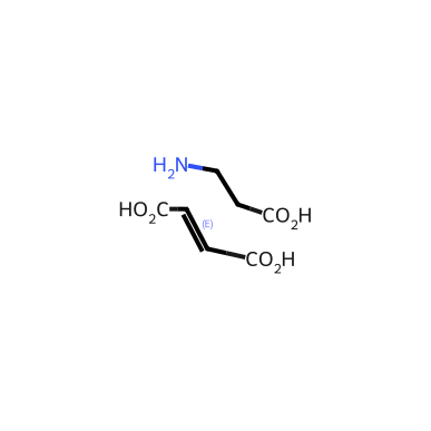 NCCC(=O)O.O=C(O)/C=C/C(=O)O